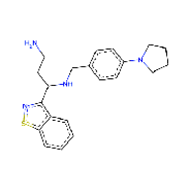 NCCC(NCc1ccc(N2CCCC2)cc1)c1nsc2ccccc12